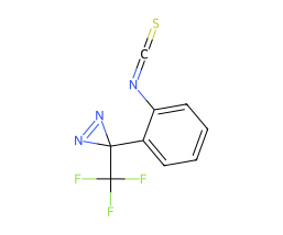 FC(F)(F)C1(c2ccccc2N=C=S)N=N1